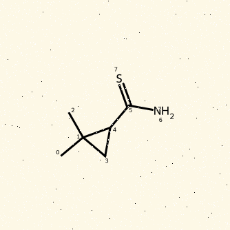 CC1(C)CC1C(N)=S